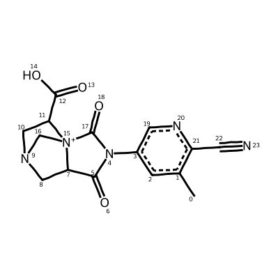 Cc1cc(N2C(=O)C3CN4CC(C(=O)O)[N+]3(C4)C2=O)cnc1C#N